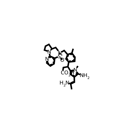 C/C(N)=C/c1cc(C(CC(=O)O)c2ccc(C)c(CN3CC4CCCN4c4ncccc4[S+]3[O-])c2)n(C)c1N